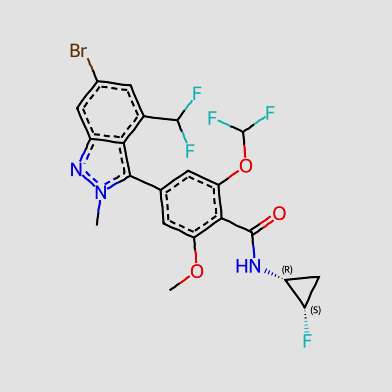 COc1cc(-c2c3c(C(F)F)cc(Br)cc3nn2C)cc(OC(F)F)c1C(=O)N[C@@H]1C[C@@H]1F